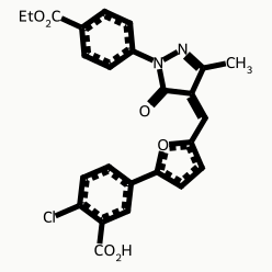 CCOC(=O)c1ccc(N2N=C(C)C(=Cc3ccc(-c4ccc(Cl)c(C(=O)O)c4)o3)C2=O)cc1